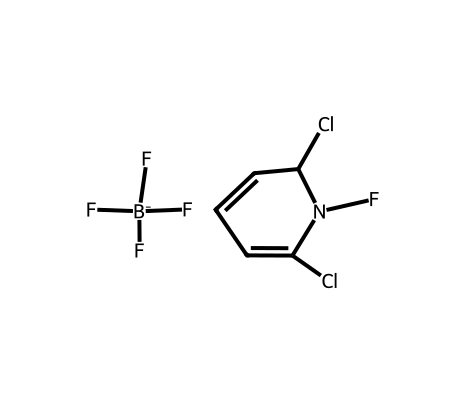 FN1C(Cl)=CC=CC1Cl.F[B-](F)(F)F